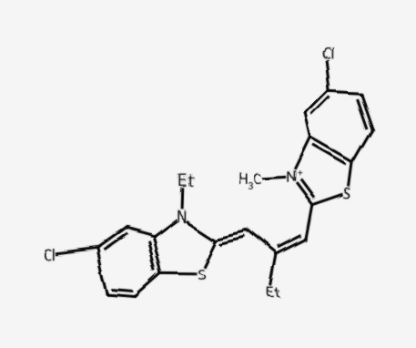 CCC(=Cc1sc2ccc(Cl)cc2[n+]1C)/C=C1\Sc2ccc(Cl)cc2N1CC